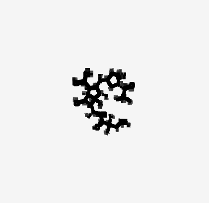 C[C@@H](NC(=O)C(F)(F)CN)[C@H]1C(=O)N2C(C(=O)O)=C(S[C@@H]3CN[C@H](C(=O)N(C)C)C3)[C@H](C)[C@H]12